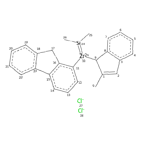 CC1=Cc2ccccc2[CH]1[Zr+2]([c]1cccc2c1Cc1ccccc1-2)=[Si](C)C.[Cl-].[Cl-]